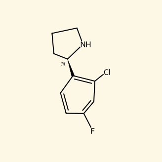 Fc1ccc([C@H]2CCCN2)c(Cl)c1